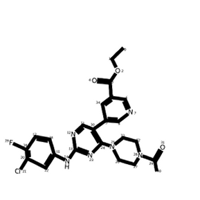 CCOC(=O)c1cncc(-c2cnc(Nc3ccc(F)c(Cl)c3)nc2N2CCN(C(C)=O)CC2)c1